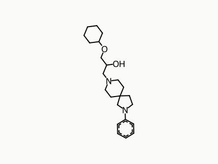 OC(COC1CCCCC1)CN1CCC2(CC1)CCN(c1ccccc1)C2